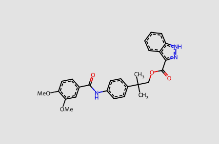 COc1ccc(C(=O)Nc2ccc(C(C)(C)COC(=O)c3n[nH]c4ccccc34)cc2)cc1OC